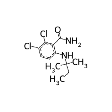 CCC(C)(C)Nc1ccc(Cl)c(Cl)c1C(N)=O